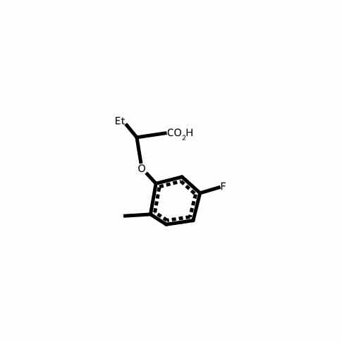 CCC(Oc1cc(F)ccc1C)C(=O)O